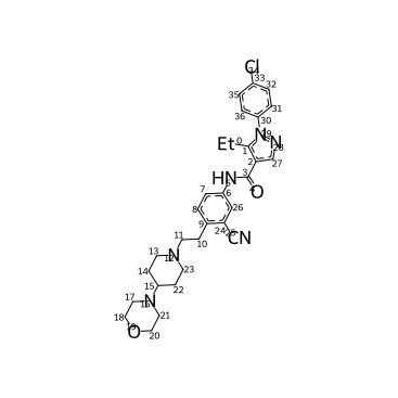 CCc1c(C(=O)Nc2ccc(CCN3CCC(N4CCOCC4)CC3)c(C#N)c2)cnn1-c1ccc(Cl)cc1